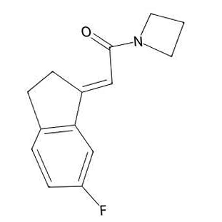 O=C(C=C1CCc2ccc(F)cc21)N1CCC1